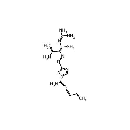 C=C/C=C\N=C(/N)n1cnc(/N=N/C(C(=C)N)=C(\N)N=C(N)N)n1